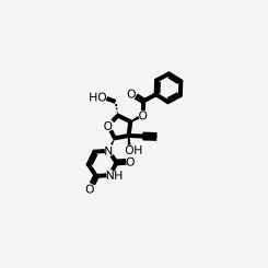 C#C[C@@]1(O)[C@H](OC(=O)c2ccccc2)[C@@H](CO)O[C@H]1n1ccc(=O)[nH]c1=O